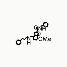 COc1ccc(CNCCCc2ccccc2)c2cc(C(=O)NCc3ccccc3)oc12